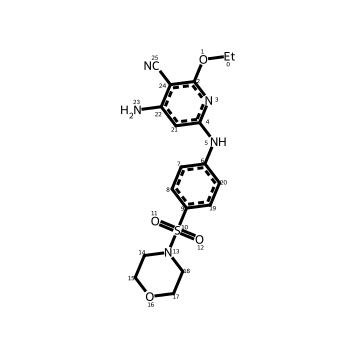 CCOc1nc(Nc2ccc(S(=O)(=O)N3CCOCC3)cc2)cc(N)c1C#N